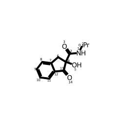 CC(C)NC(=O)C1(O)Cc2ccccc2C1=O